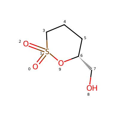 O=S1(=O)CCC[C@H](CO)O1